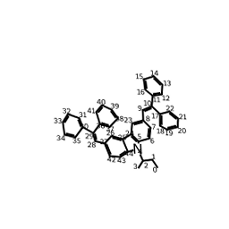 CCC(C)n1c2ccc(C=C(c3ccccc3)c3ccccc3)cc2c2cc(C=C(c3ccccc3)c3ccccc3)ccc21